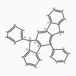 c1ccc(-c2c3[nH]c4ccccc4c3cc3c2c2ccccc2n3-c2ccccc2)cc1